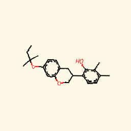 CCC(C)(C)Oc1ccc2c(c1)OCC(c1ccc(C)c(C)c1O)C2